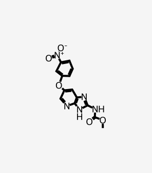 COC(=O)Nc1nc2cc(Oc3cccc([N+](=O)[O-])c3)cnc2[nH]1